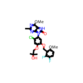 COc1ccc(F)c(F)c1COc1cc(-n2c(=O)[nH]c3c(OC)nc(C)nc32)c(Cl)cc1OCC(C)(C)O